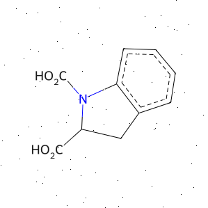 O=C(O)C1Cc2ccccc2N1C(=O)O